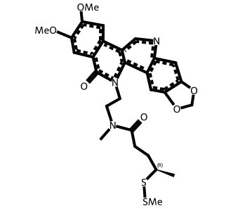 COc1cc2c(=O)n(CCN(C)C(=O)CC[C@@H](C)SSC)c3c4cc5c(cc4ncc3c2cc1OC)OCO5